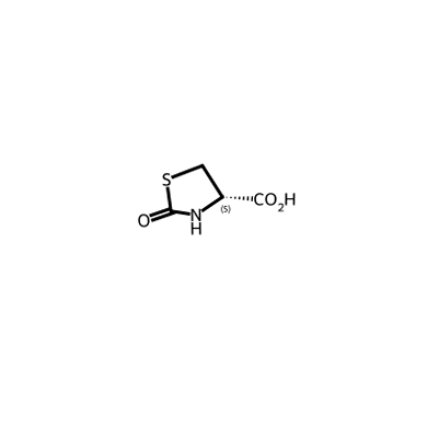 O=C1N[C@@H](C(=O)O)CS1